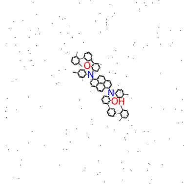 Cc1ccc(N(c2cccc(-c3cccc(-c4c(C)cccc4C)c3)c2O)c2ccc3ccc4c(N(c5ccc(C)cc5)c5cccc6c5oc5c(-c7c(C)cccc7C)cccc56)ccc5ccc2c3c54)cc1